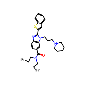 CC(C)CCN(CCC(C)C)C(=O)c1ccc2nc(-c3cc4ccccc4s3)n(CCCN3CCCCC3)c2c1